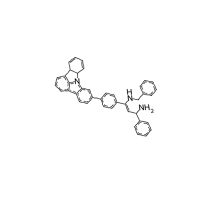 NC(/C=C(\NCc1ccccc1)c1ccc(-c2ccc3c4cccc5c4n(c3c2)C2C=CC=CC52)cc1)c1ccccc1